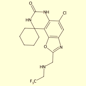 O=C1Nc2c(Cl)cc3nc(CNCC(F)(F)F)oc3c2C2(CCCCC2)N1